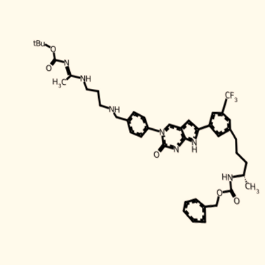 C/C(=N\C(=O)OC(C)(C)C)NCCCNCc1ccc(-n2cc3cc(-c4cc(CCC[C@H](C)NC(=O)OCc5ccccc5)cc(C(F)(F)F)c4)[nH]c3nc2=O)cc1